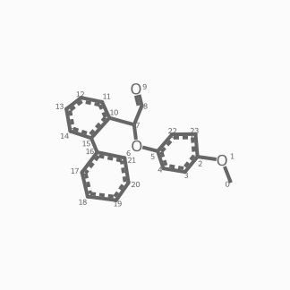 COc1ccc(OC([C]=O)c2ccccc2-c2ccccc2)cc1